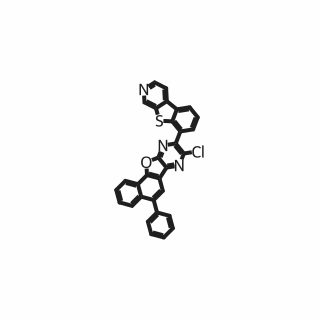 Clc1nc2c(nc1-c1cccc3c1sc1cnccc13)oc1c3ccccc3c(-c3ccccc3)cc21